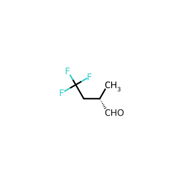 C[C@H](C=O)CC(F)(F)F